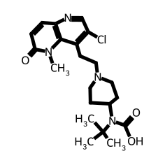 Cn1c(=O)ccc2ncc(Cl)c(CCN3CCC(N(C(=O)O)C(C)(C)C)CC3)c21